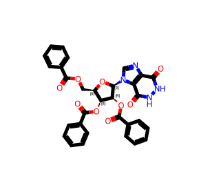 O=C(OC[C@H]1O[C@@H](n2cnc3c(=O)[nH][nH]c(=O)c32)[C@H](OC(=O)c2ccccc2)[C@@H]1OC(=O)c1ccccc1)c1ccccc1